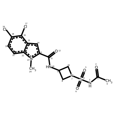 CC(=O)NS(=O)(=O)N1CC(NC(=O)c2cc3c(Cl)c(Cl)ccc3n2C)C1